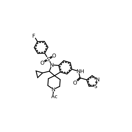 CC(=O)N1CCC2(CC1)c1cc(NC(=O)c3cnsc3)ccc1N(S(=O)(=O)c1ccc(F)cc1)C2C1CC1